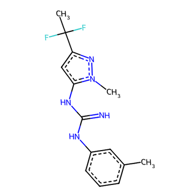 Cc1cccc(NC(=N)Nc2cc(C(C)(F)F)nn2C)c1